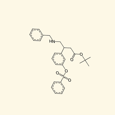 CC(C)(C)OC(=O)CC(CNCc1ccccc1)c1cccc(OS(=O)(=O)c2ccccc2)c1